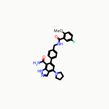 COc1ccc(F)cc1C(=O)NCc1ccc(-c2cc(N3CCCC3)c3cn[nH]c3c2C(N)=O)cc1